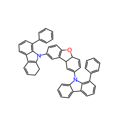 C1=Cc2c(n(-c3ccc4c(c3)C3C=C(n5c6ccccc6c6cccc(-c7ccccc7)c65)C=CC3O4)c3c(-c4ccccc4)cccc23)CC1